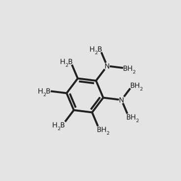 Bc1c(B)c(B)c(N(B)B)c(N(B)B)c1B